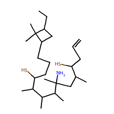 C=CCC(S)C(C)CC(C)(N)C(C)C(C)C(C)C(S)CCCC1CC(CC)C1(C)C